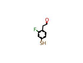 O=CCc1ccc(S)cc1F